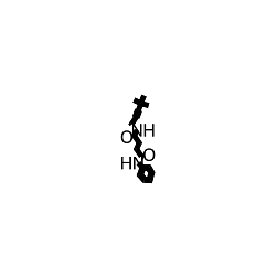 CC(C)(C)C#CCNC(=O)CCC(=O)Nc1ccccc1